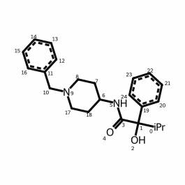 CC(C)C(O)(C(=O)NC1CCN(Cc2ccccc2)CC1)c1ccccc1